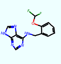 FC(F)Oc1ccccc1CNc1ncnc2[nH]cnc12